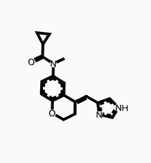 CN(C(=O)C1CC1)c1ccc2c(c1)/C(=C/c1c[nH]cn1)CCO2